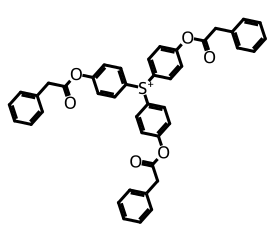 O=C(Cc1ccccc1)Oc1ccc([S+](c2ccc(OC(=O)Cc3ccccc3)cc2)c2ccc(OC(=O)Cc3ccccc3)cc2)cc1